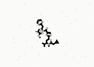 COC(=O)[C@@H](C)C[C@H](Cc1ncccn1)NC(=O)c1csc(CCC(C(C)C)N(C)C(=O)CC2CC2)n1